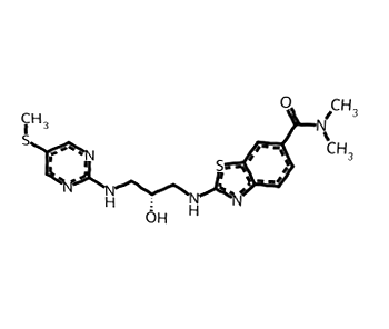 CSc1cnc(NC[C@@H](O)CNc2nc3ccc(C(=O)N(C)C)cc3s2)nc1